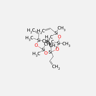 C=CC[Si](C)(O[Si](C)(C)O[Si](C)(C)C=C)O[Si](C)(C)O[Si](C)(C)C=C